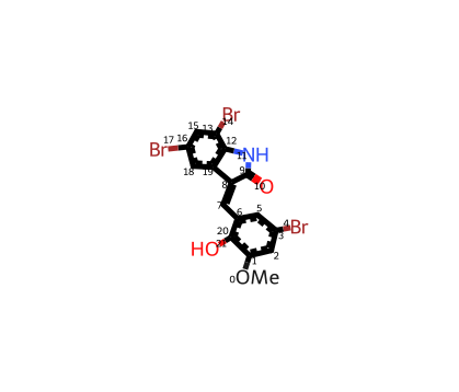 COc1cc(Br)cc(C=C2C(=O)Nc3c(Br)cc(Br)cc32)c1O